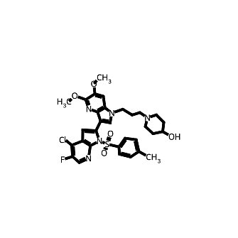 COc1cc2c(nc1OC)c(-c1cc3c(Cl)c(F)cnc3n1S(=O)(=O)c1ccc(C)cc1)cn2CCCN1CCC(O)CC1